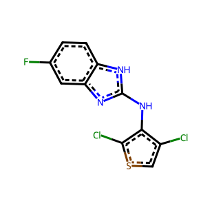 Fc1ccc2[nH]c(Nc3c(Cl)csc3Cl)nc2c1